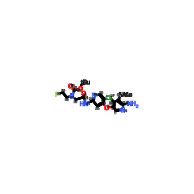 CNc1c(N)ncc(Oc2ccnc(NC(=O)CN(CCF)C(=O)OC(C)(C)C)c2)c1Cl